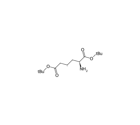 CC(C)(C)OC(=O)C[CH]C[C@H](N)C(=O)OC(C)(C)C